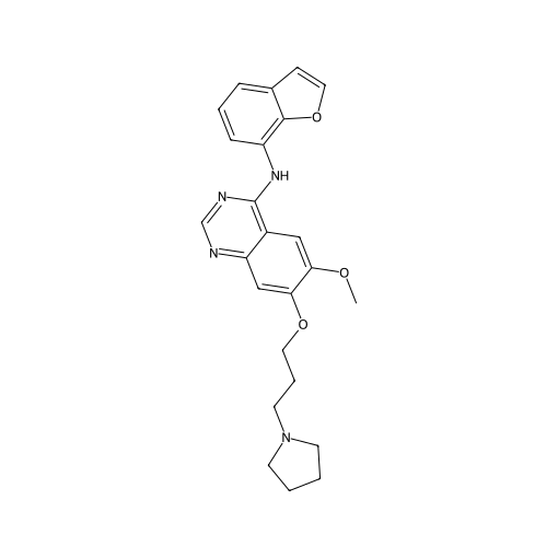 COc1cc2c(Nc3cccc4ccoc34)ncnc2cc1OCCCN1CCCC1